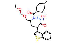 CCOCOCC(CC(C(=O)NO)c1csc2ccccc12)NC(=O)C1CCC(C)CC1